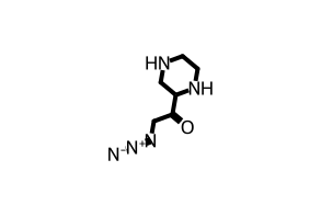 [N-]=[N+]=NCC(=O)C1CNCCN1